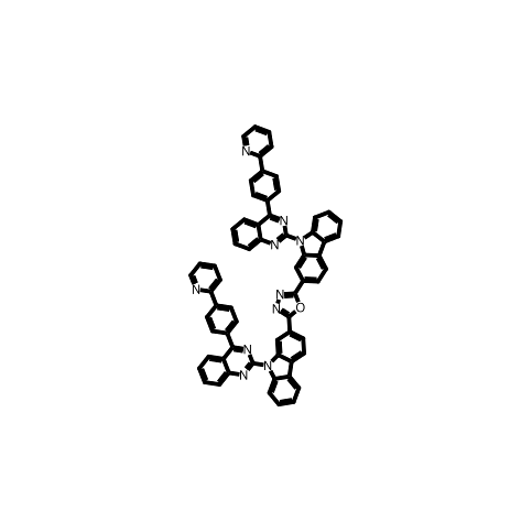 c1ccc(-c2ccc(-c3nc(-n4c5ccccc5c5ccc(-c6nnc(-c7ccc8c9ccccc9n(-c9nc(-c%10ccc(-c%11ccccn%11)cc%10)c%10ccccc%10n9)c8c7)o6)cc54)nc4ccccc34)cc2)nc1